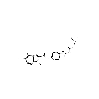 C[C@@H](CC(=O)O)NC(=O)NS(=O)(=O)c1ccc(NC(=O)c2cc3c(Cl)c(Cl)ccc3n2C)cc1